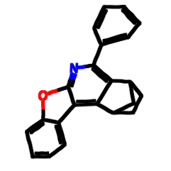 c1ccc(-c2nc3oc4ccccc4c3c3c2C2CCC3C2)cc1